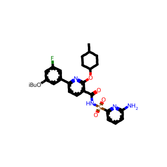 CC(C)COc1cc(F)cc(-c2ccc(C(=O)NS(=O)(=O)c3cccc(N)n3)c(OC3CCC(C)CC3)n2)c1